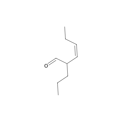 CC/C=C\C(C=O)CCC